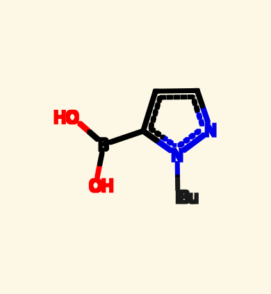 CCC(C)n1nccc1B(O)O